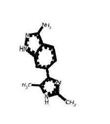 Cc1nc(-c2ccc3c(N)n[nH]c3c2)c(C)[nH]1